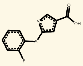 O=C(O)c1csc(Sc2ccccc2F)c1